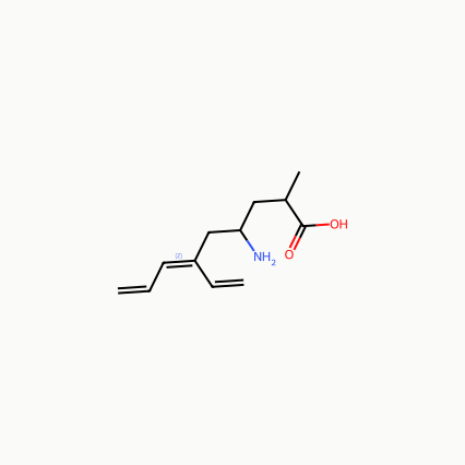 C=C/C=C(\C=C)CC(N)CC(C)C(=O)O